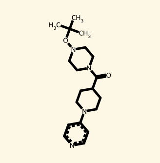 CC(C)(C)ON1CCN(C(=O)C2CCN(c3ccncc3)CC2)CC1